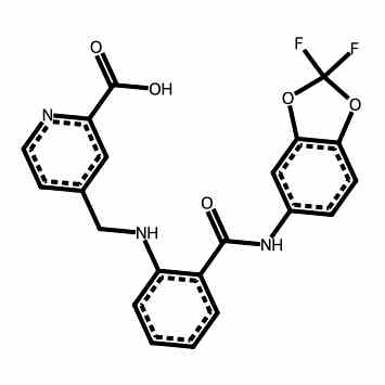 O=C(O)c1cc(CNc2ccccc2C(=O)Nc2ccc3c(c2)OC(F)(F)O3)ccn1